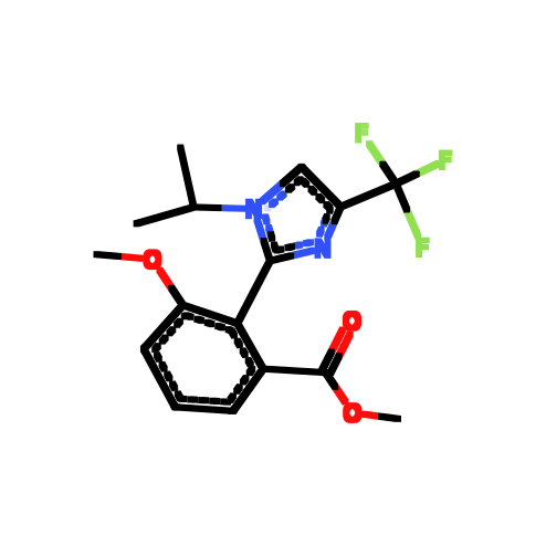 COC(=O)c1cccc(OC)c1-c1nc(C(F)(F)F)cn1C(C)C